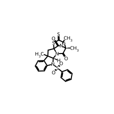 CN1C(=O)C23CC4(C)c5ccccc5N(S(=O)(=O)c5ccccc5)[C@H]4N2C(=O)[C@@]1(C)SC(=S)S3